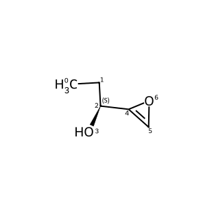 CC[C@H](O)C1=CO1